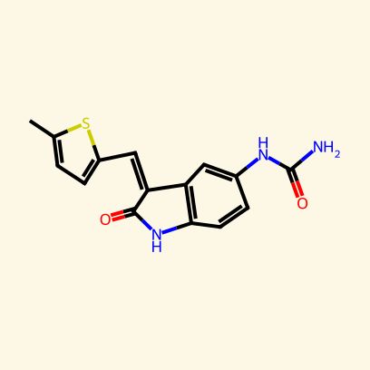 Cc1ccc(C=C2C(=O)Nc3ccc(NC(N)=O)cc32)s1